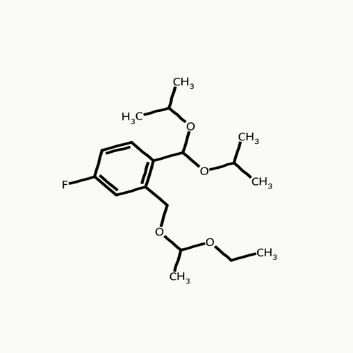 CCOC(C)OCc1cc(F)ccc1C(OC(C)C)OC(C)C